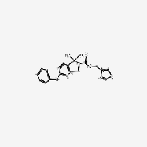 CC1(C)c2cnc(Nc3ccccc3)nc2CN1C(=O)NCc1cocn1